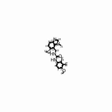 COc1ccc(NC(=O)NCc2c(OC)ccc3ncn(C)c23)c(F)c1F